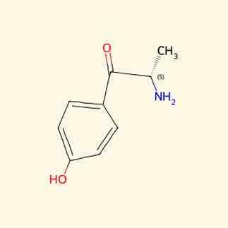 C[C@H](N)C(=O)c1ccc(O)cc1